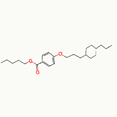 CCCCCOC(=O)c1ccc(OCCCC2CCC(CCC)CC2)cc1